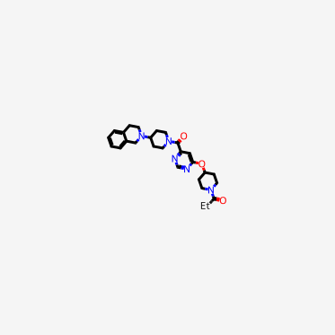 CCC(=O)N1CCC(Oc2cc(C(=O)N3CCC(N4CCc5ccccc5C4)CC3)ncn2)CC1